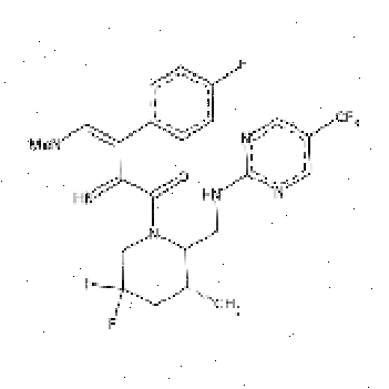 CN/C=C(\C(=N)C(=O)N1CC(F)(F)C[C@@H](C)C1CNc1ncc(C(F)(F)F)cn1)c1ccc(F)cc1